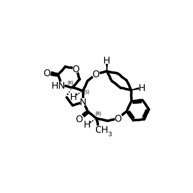 C[C@@H]1COc2ccccc2[C@H]2CC[C@H](CC2)OC[C@H]2N(CC[C@]23COCC(=O)N3)C1=O